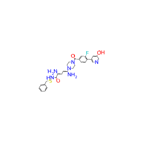 N/C(=C\C=C(/N)N1CCN(C(=O)c2ccc(-c3cncc(O)c3)c(F)c2)CC1)C(=O)NSCc1ccccc1